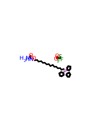 NC(=O)NOCCCCCCCCCCCCCCCC[P+](c1ccccc1)(c1ccccc1)c1ccccc1.O=C([O-])C(F)(F)F